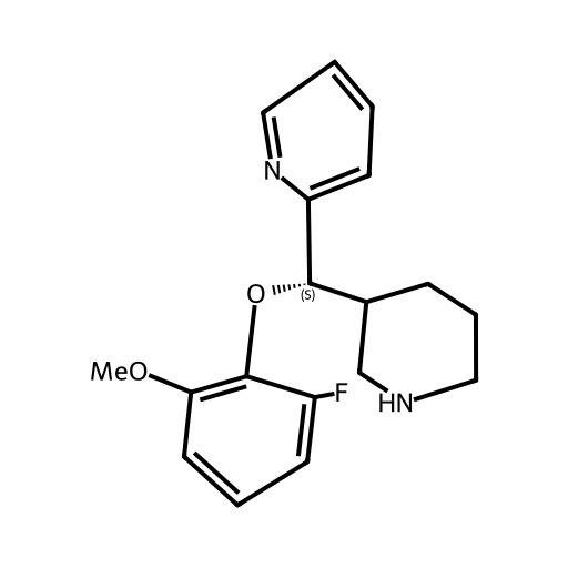 COc1cccc(F)c1O[C@H](c1ccccn1)C1CCCNC1